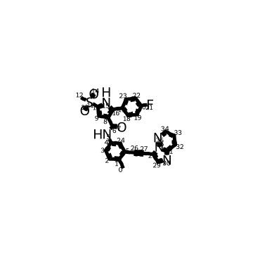 Cc1ccc(NC(=O)c2cc(S(C)(=O)=O)[nH]c2-c2ccc(F)cc2)cc1C#Cc1cnc2cccnn12